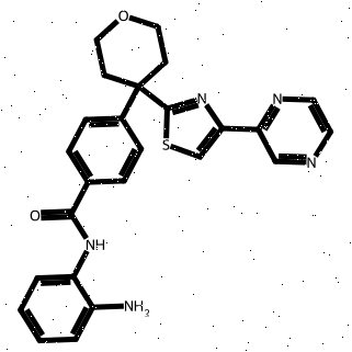 Nc1ccccc1NC(=O)c1ccc(C2(c3nc(-c4cnccn4)cs3)CCOCC2)cc1